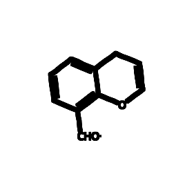 O=[C]c1cccc2c1OC=CC2